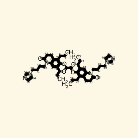 C=CCc1cc2c(c(CC=C)c1OC(=O)C(=O)Oc1c(CC=C)cc3c(c1CC=C)CCC(=O)N3CCCCn1ccnc1)CCC(=O)N2CCCCn1ccnc1